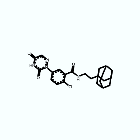 O=C(NCCC12CC3CC(CC(C3)C1)C2)c1cc(-n2ncc(=O)[nH]c2=O)ccc1Cl